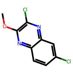 COc1nc2ccc(Cl)cc2nc1Cl